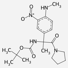 CNc1ccc(C(C)(NC(=O)OC(C)(C)C)C(=O)N2CCCC2)cc1[N+](=O)[O-]